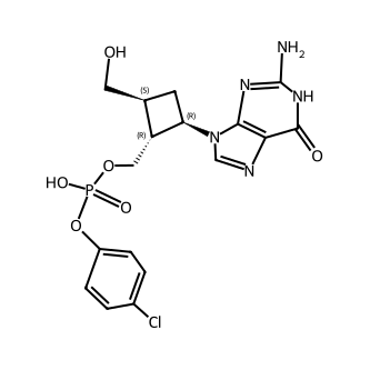 Nc1nc2c(ncn2[C@@H]2C[C@H](CO)[C@H]2COP(=O)(O)Oc2ccc(Cl)cc2)c(=O)[nH]1